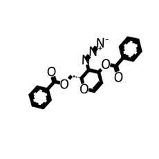 [N-]=[N+]=NC1C(OC(=O)c2ccccc2)C=CO[C@@H]1COC(=O)c1ccccc1